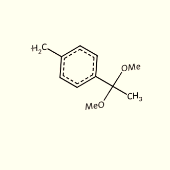 [CH2]c1ccc(C(C)(OC)OC)cc1